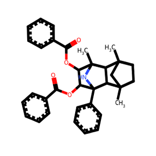 CC12CCC(C)(C1)C1C2C2(C)NC1(c1ccccc1)C(OC(=O)c1ccccc1)C2OC(=O)c1ccccc1